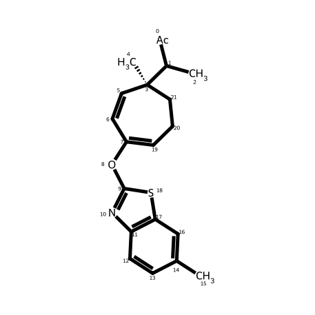 CC(=O)C(C)[C@]1(C)C=CC(Oc2nc3ccc(C)cc3s2)=CCC1